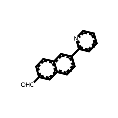 O=Cc1ccc2cc(-c3ccccn3)ccc2c1